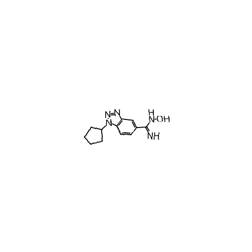 N=C(NO)c1ccc2c(c1)nnn2C1CCCC1